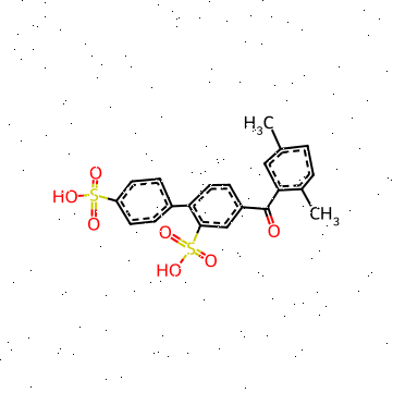 Cc1ccc(C)c(C(=O)c2ccc(-c3ccc(S(=O)(=O)O)cc3)c(S(=O)(=O)O)c2)c1